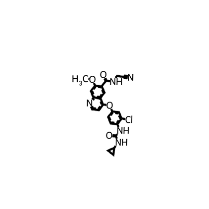 COc1cc2nccc(Oc3ccc(NC(=O)NC4CC4)c(Cl)c3)c2cc1C(=O)NCC#N